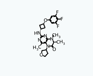 Cc1nc(N[C@H]2C[C@H](Oc3cc(F)c(F)c(F)c3)C2)nc2c1N(C1CCOC1)C(=O)[C@H](C)N2C